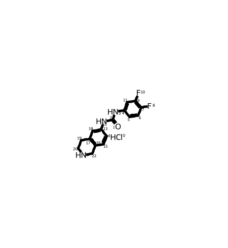 Cl.O=C(Nc1ccc(F)c(F)c1)Nc1ccc2c(c1)CCNC2